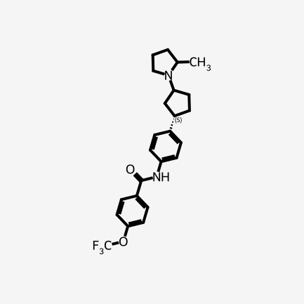 CC1CCCN1C1CC[C@H](c2ccc(NC(=O)c3ccc(OC(F)(F)F)cc3)cc2)C1